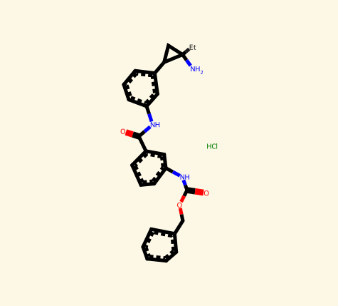 CCC1(N)CC1c1cccc(NC(=O)c2cccc(NC(=O)OCc3ccccc3)c2)c1.Cl